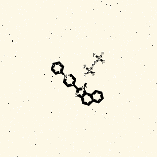 C[n+]1c(-c2cc[n+](-c3ccccc3)cc2)sc2ccc3ccccc3c21.F[B-](F)(F)F.F[B-](F)(F)F